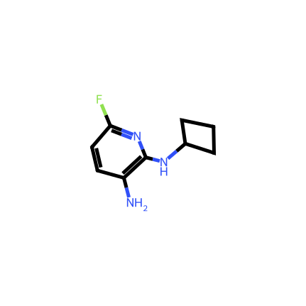 Nc1ccc(F)nc1NC1CCC1